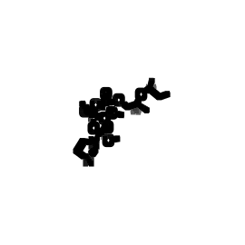 CC[C@H](C)O[C@@H](C)COP(=O)(OC)OP(=O)(OC)OP(=O)(OC)n1ccnc1